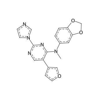 CN(c1ccc2c(c1)OCO2)c1nc(-n2ccnc2)ncc1-c1ccoc1